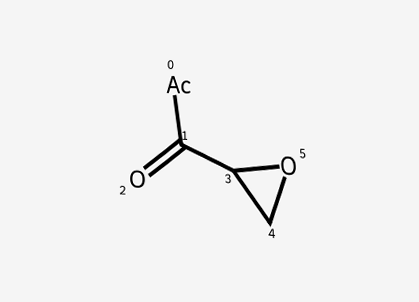 CC(=O)C(=O)C1CO1